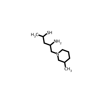 CC(S)CC(N)CN1CCCC(C)C1